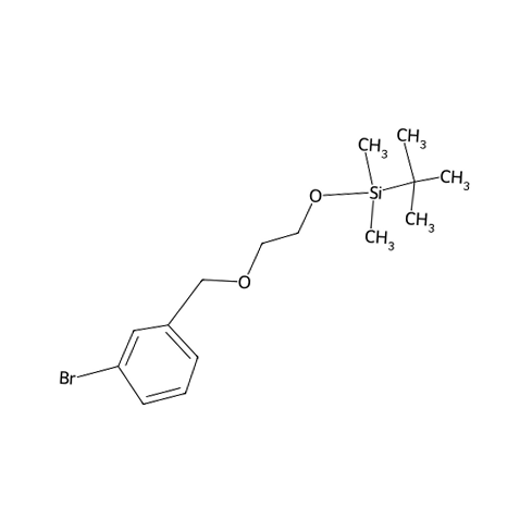 CC(C)(C)[Si](C)(C)OCCOCc1cccc(Br)c1